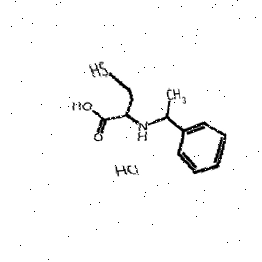 CC(NC(CS)C(=O)O)c1ccccc1.Cl